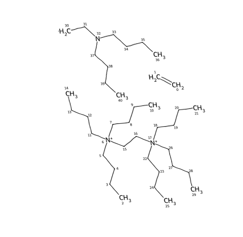 C=C.CCCC[N+](CCCC)(CCCC)CC[N+](CCCC)(CCCC)CCCC.[CH2]CN(CCCC)CCCC